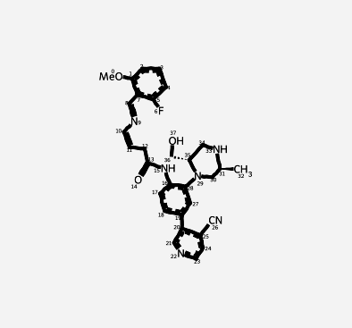 COc1cccc(F)c1/C=N/C=C\CC(=O)Nc1ccc(-c2cnccc2C#N)cc1N1C[C@H](C)NC[C@H]1CO